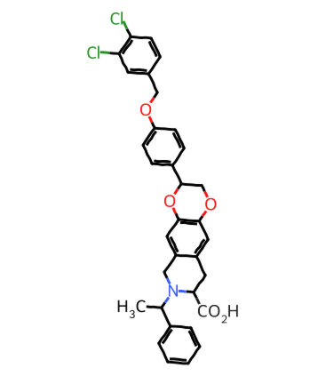 CC(c1ccccc1)N1Cc2cc3c(cc2CC1C(=O)O)OCC(c1ccc(OCc2ccc(Cl)c(Cl)c2)cc1)O3